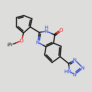 CC(C)Oc1ccccc1-c1nc2ccc(-c3nnn[nH]3)cc2c(=O)[nH]1